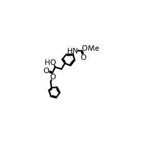 COC(=O)Nc1ccc(CC(O)C(=O)OCc2ccccc2)cc1